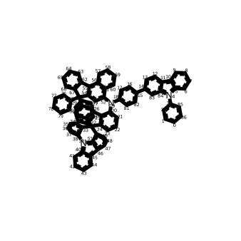 c1ccc(-n2c3ccccc3c3ccc(-c4ccc(N(c5cccc6c5-c5ccccc5C65c6ccccc6-n6c7ccccc7c7cccc5c76)c5cc6c(c7ccccc57)-c5ccccc5C6(c5ccccc5)c5ccccc5)cc4)cc32)cc1